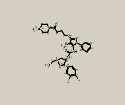 CCN1C[C@@H](NC(=O)Nc2c(C)c(OCCCC(=O)N3CCN(C)CC3)nn2-c2ccccc2)[C@H](c2ccc(F)c(F)c2)O1